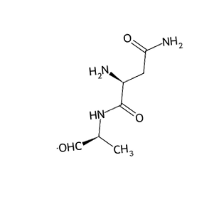 C[C@@H]([C]=O)NC(=O)[C@@H](N)CC(N)=O